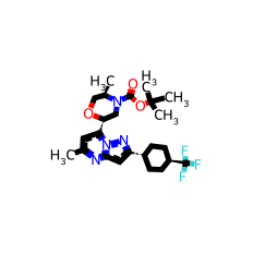 Cc1cc([C@H]2CN(C(=O)OC(C)(C)C)[C@H](C)CO2)n2nc([C@H]3CC[C@H](C(F)(F)F)CC3)cc2n1